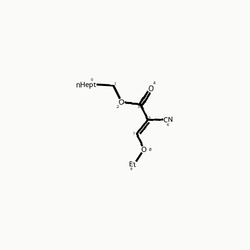 CCCCCCCCOC(=O)C(C#N)=COCC